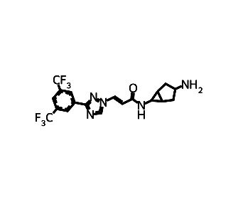 NC1CC2C(C1)C2NC(=O)C=Cn1cnc(-c2cc(C(F)(F)F)cc(C(F)(F)F)c2)n1